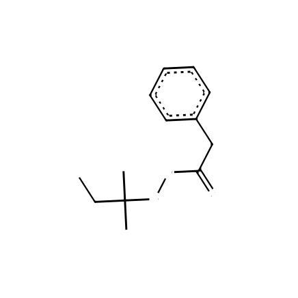 CCC(C)(C)OOC(=O)Cc1ccccc1